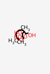 CC1CCCCC(C)(C)OC2OC(CO)C1C(O)C2O